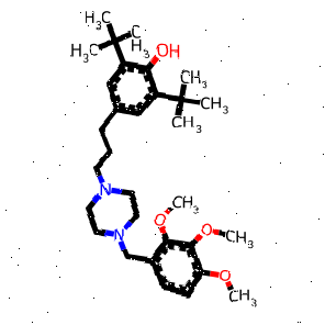 COc1ccc(CN2CCN(CCCc3cc(C(C)(C)C)c(O)c(C(C)(C)C)c3)CC2)c(OC)c1OC